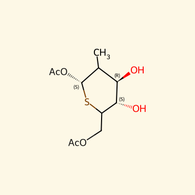 CC(=O)OCC1S[C@H](OC(C)=O)C(C)[C@@H](O)[C@@H]1O